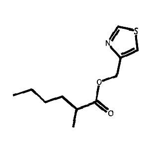 CCCCC(C)C(=O)OCc1cscn1